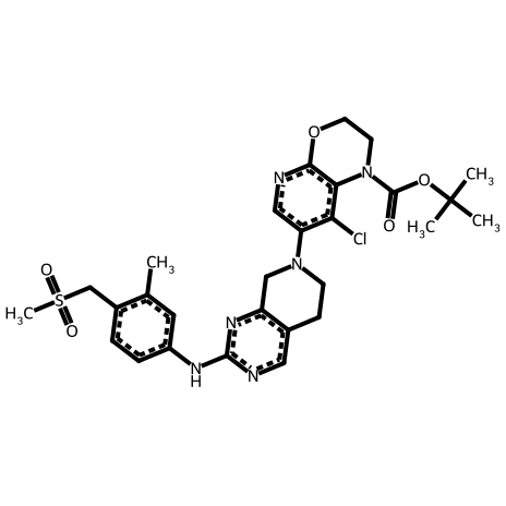 Cc1cc(Nc2ncc3c(n2)CN(c2cnc4c(c2Cl)N(C(=O)OC(C)(C)C)CCO4)CC3)ccc1CS(C)(=O)=O